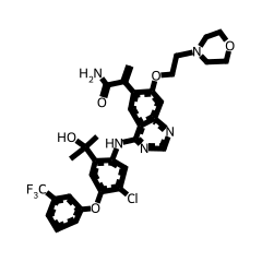 C=C(C(N)=O)c1cc2c(Nc3cc(Cl)c(Oc4cccc(C(F)(F)F)c4)cc3C(C)(C)O)ncnc2cc1OCCN1CCOCC1